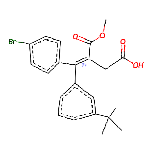 COC(=O)/C(CC(=O)O)=C(\c1ccc(Br)cc1)c1cccc(C(C)(C)C)c1